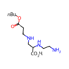 CCCCOC(=O)CCNCC(NCCN)C(=O)O